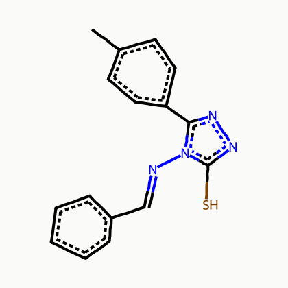 Cc1ccc(-c2nnc(S)n2N=Cc2ccccc2)cc1